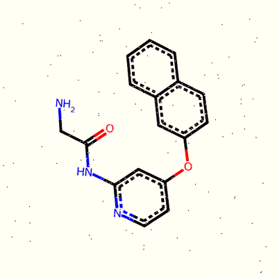 NCC(=O)Nc1cc(Oc2ccc3ccccc3c2)ccn1